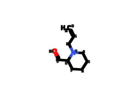 C=CCN1CCCCC1[C]=O